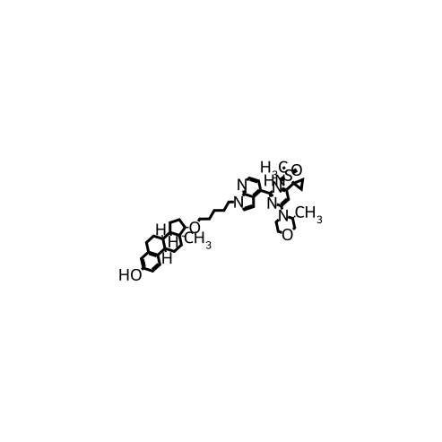 C[C@@H]1COCCN1c1cc(C2(S(C)(=N)=O)CC2)nc(-c2ccnc3c2ccn3CCCCCO[C@H]2CC[C@H]3[C@@H]4CCc5cc(O)ccc5[C@H]4CC[C@]23C)n1